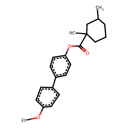 CCOc1ccc(-c2ccc(OC(=O)C3(C#N)CCCC(C)C3)cc2)cc1